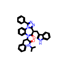 CC(C)NC(=O)C(Cc1ccccc1)N1C(=O)C(Cc2c[nH]c3ccccc23)c2nnc(-c3ccccc3)n2-c2ccccc21